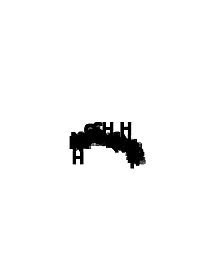 C[C@H]1C[C@@H](N2Cc3cnc(Nc4ccc(OC(F)(F)F)cc4)nc3C2)CCN1C(=O)c1ccc2[nH]nnc2c1